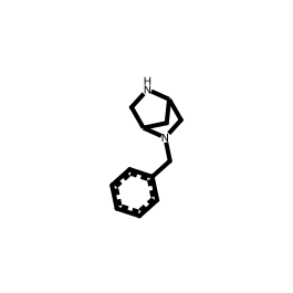 c1ccc(CN2CC3CC2CN3)cc1